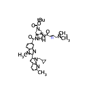 Cc1ccc2cc(-c3nc4cc(C(=O)N[C@@H]5CN(C(=O)OC(C)(C)C)C[C@H]5NC(=O)/C=C/CN(C)C)ccc4n3C)n(CC3CC3)c2n1